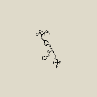 CCOC(Cc1ccc(OCCN(CCCCCC(F)(F)F)C(=O)OC2CCCCC2)cc1)C(=O)O